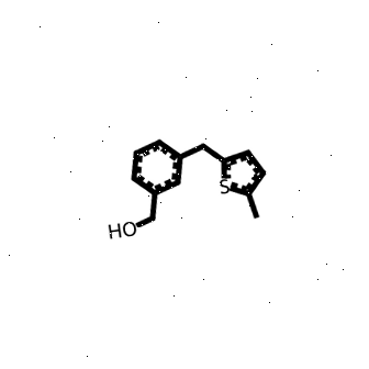 Cc1ccc(Cc2cccc(CO)c2)s1